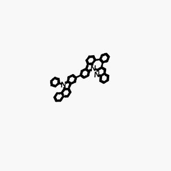 c1ccc(-n2c3ccc(-c4ccc5c(c4)c4cccc6c4n5-c4nc5ccccc5cc4-c4ccccc4-6)cc3c3ccc4ccccc4c32)cc1